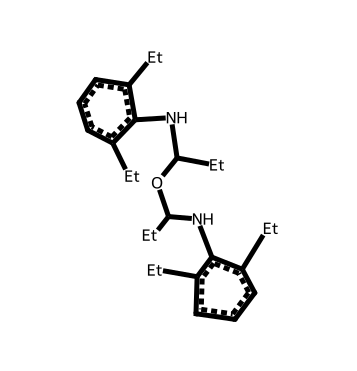 CCc1cccc(CC)c1NC(CC)OC(CC)Nc1c(CC)cccc1CC